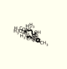 Cc1ccc(S(=O)(=O)N(CCC(C)C)C(CO)CCC(C)CNC(=O)OC(C)(C)C)cc1